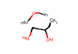 CC(O)CO.CCCCOC(C)C